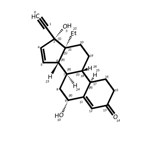 C#C[C@]1(O)C=C[C@H]2[C@@H]3C[C@@H](O)C4=CC(=O)CC[C@@H]4[C@H]3CC[C@@]21CC